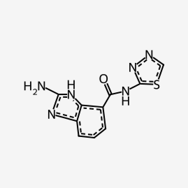 Nc1nc2cccc(C(=O)Nc3nncs3)c2[nH]1